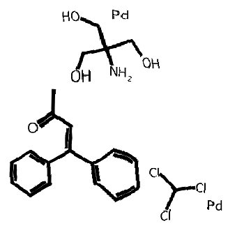 CC(=O)C=C(c1ccccc1)c1ccccc1.ClC(Cl)Cl.NC(CO)(CO)CO.[Pd].[Pd]